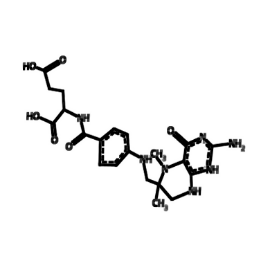 CN1c2c([nH]c(N)nc2=O)NCC1(C)CNc1ccc(C(=O)NC(CCC(=O)O)C(=O)O)cc1